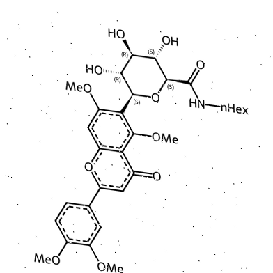 CCCCCCNC(=O)[C@H]1O[C@@H](c2c(OC)cc3oc(-c4ccc(OC)c(OC)c4)cc(=O)c3c2OC)[C@H](O)[C@@H](O)[C@@H]1O